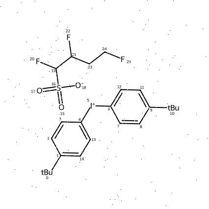 CC(C)(C)c1ccc([I+]c2ccc(C(C)(C)C)cc2)cc1.O=S(=O)([O-])C(F)C(F)CCF